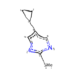 CSc1ncc(C2CC2)cn1